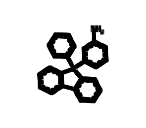 Nc1cccc(S2(c3ccccc3)c3ccccc3-c3ccccc32)c1